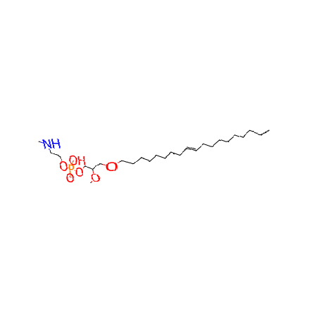 CCCCCCCCCC=CCCCCCCCCOCC(COP(=O)(O)OCCNC)OC